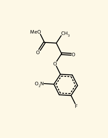 COC(=O)C(C)C(=O)Oc1ccc(F)cc1[N+](=O)[O-]